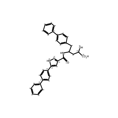 O=C(NC(Cc1ccc(-c2ccccc2)cc1)CC(O)C(=O)O)c1cc(-c2ccc(-c3ccccc3)cc2)[nH]n1